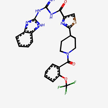 N=C(NC(=O)c1csc(C2CCN(C(=O)c3ccccc3OC(F)(F)F)CC2)n1)Nc1nc2ccccc2[nH]1